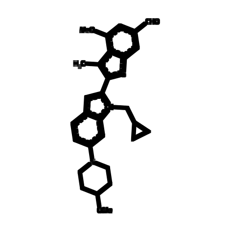 COc1cc(C=O)cc2sc(-c3cc4ccc(N5CCC(OC)CC5)cc4n3CC3CC3)c(C)c12